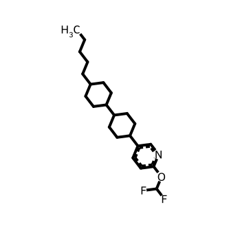 CCCCCC1CCC(C2CCC(c3ccc(OC(F)F)nc3)CC2)CC1